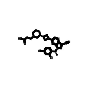 C[C@H](c1ccc(Cl)cc1Cl)n1nc(C#N)c2ncc(N3CC([C@H]4CCCN(CCC(=O)O)C4)C3)nc21